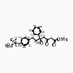 COC(=O)CC(=O)CC(O)(CCc1ccc(O[Si](C)(C)C(C)(C)C)cc1)c1ccccc1